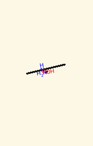 CCCCCCCCCCCCCCCCCCCC(=O)NCCCCCCCCCCCCCC.NCCO